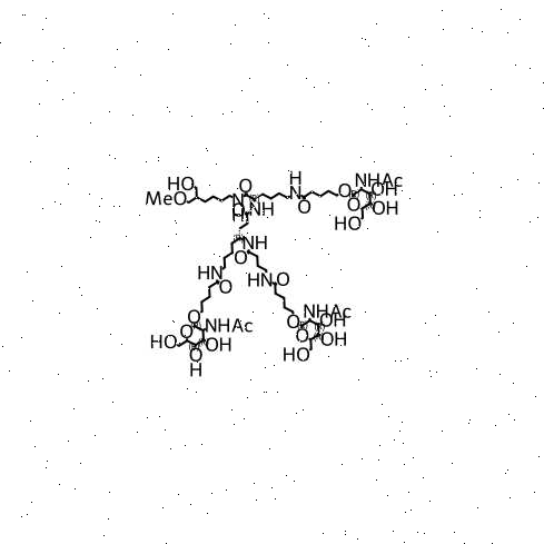 COCC(CO)CCCCNC(=O)[C@@H](CCCCNC(=O)CCCCO[C@@H]1OC(CO)[C@H](O)[C@H](O)C1NC(C)=O)NC(=O)CC[C@@H](CCCCNC(=O)CCCCO[C@@H]1OC(CO)[C@H](O)[C@H](O)C1NC(C)=O)NC(=O)CCCNC(=O)CCCCO[C@@H]1OC(CO)[C@H](O)[C@H](O)C1NC(C)=O